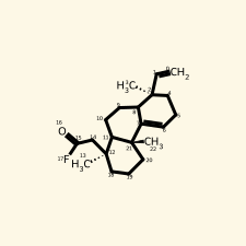 C=C[C@@]1(C)CCC=C2C1CCC1[C@](C)(CC(=O)F)CCC[C@@]21C